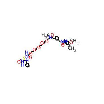 C=Cc1cc(C(=O)NCc2cccc(CC(=O)N(C)CCOCCOCCOCCOCCOCC(=O)Nc3nc(-c4ccccc4)c(NC=O)s3)c2)ncc1OC